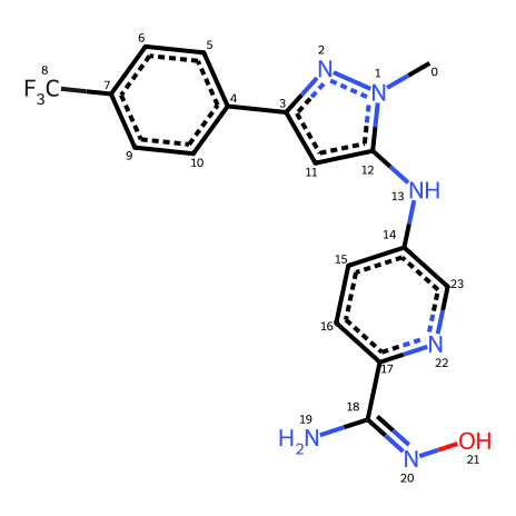 Cn1nc(-c2ccc(C(F)(F)F)cc2)cc1Nc1ccc(/C(N)=N\O)nc1